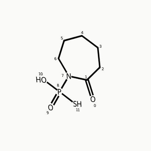 O=C1CCCCCN1P(=O)(O)S